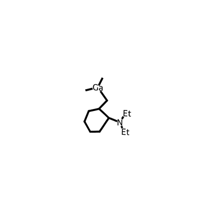 CCN(CC)C1CCCCC1[CH2][Ga]([CH3])[CH3]